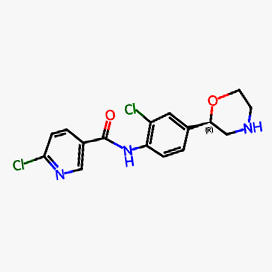 O=C(Nc1ccc([C@@H]2CNCCO2)cc1Cl)c1ccc(Cl)nc1